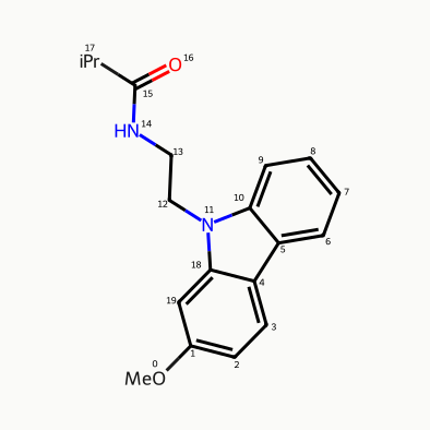 COc1ccc2c3ccccc3n(CCNC(=O)C(C)C)c2c1